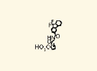 O=C(NCC(=O)N1CCCC1C(=O)O)c1ccc2c(c1)C1CCCCC1C2(F)F